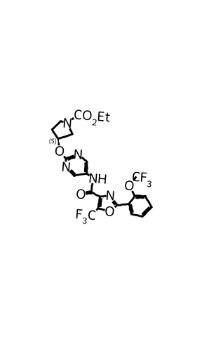 CCOC(=O)N1CC[C@H](Oc2ncc(NC(=O)c3nc(-c4ccccc4OC(F)(F)F)oc3C(F)(F)F)cn2)C1